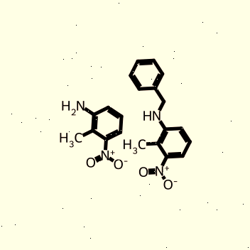 Cc1c(N)cccc1[N+](=O)[O-].Cc1c(NCc2ccccc2)cccc1[N+](=O)[O-]